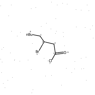 CCCCCC(Br)CC(=O)Cl